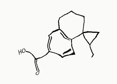 CC1CC12CCCc1cc(C(=O)O)ccc12